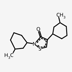 CC1CCCC(c2csn(C3CCCC(C)C3)c2=O)C1